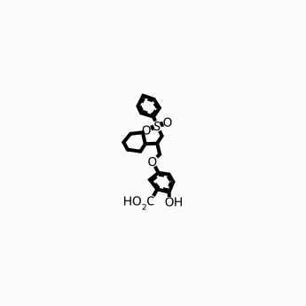 O=C(O)c1cc(OCC(CS(=O)(=O)c2ccccc2)C2CCCCC2)ccc1O